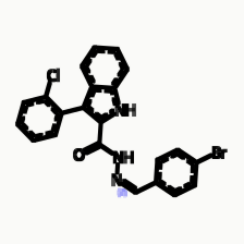 O=C(N/N=C\c1ccc(Br)cc1)c1[nH]c2ccccc2c1-c1ccccc1Cl